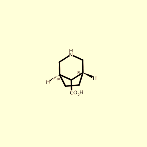 O=C(O)C1[C@H]2CC[C@H]1CNC2